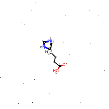 CCCC(=O)O.c1c[nH]cn1